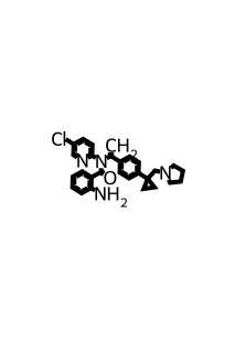 C=C(c1ccc(C2(CN3CCCC3)CC2)cc1)N(C(=O)c1ccccc1N)c1ccc(Cl)cn1